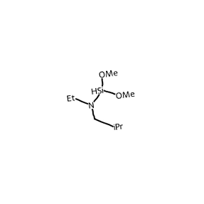 CCN(CC(C)C)[SiH](OC)OC